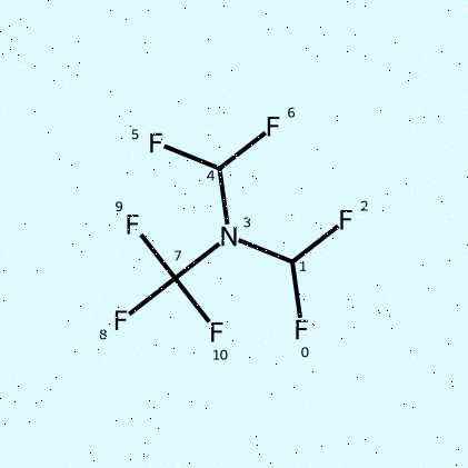 FC(F)N(C(F)F)C(F)(F)F